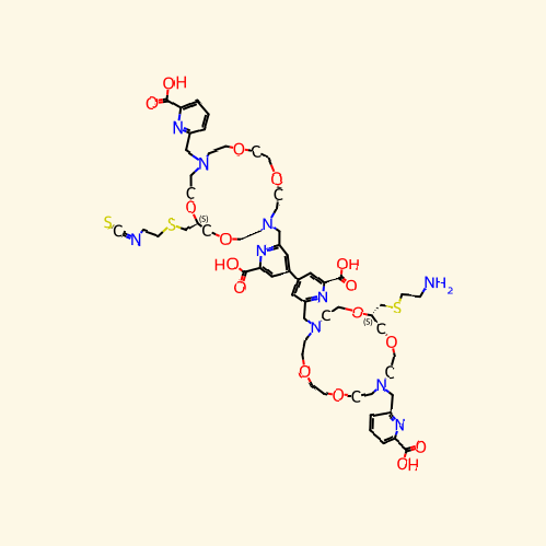 NCCSC[C@@H]1COCCN(Cc2cccc(C(=O)O)n2)CCOCCOCCN(Cc2cc(-c3cc(CN4CCOCCOCCN(Cc5cccc(C(=O)O)n5)CCO[C@H](CSCCN=C=S)COCC4)nc(C(=O)O)c3)cc(C(=O)O)n2)CCO1